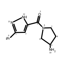 CC(C)c1cc(C(=O)N2CCC(N)C2)[nH]n1